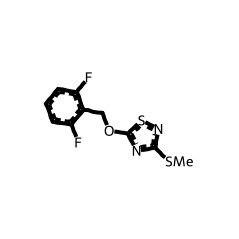 CSc1nsc(OCc2c(F)cccc2F)n1